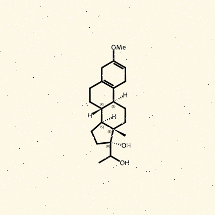 COC1=CCC2=C(CC[C@@H]3[C@@H]2CC[C@@]2(C)[C@H]3CC[C@]2(O)C(C)O)C1